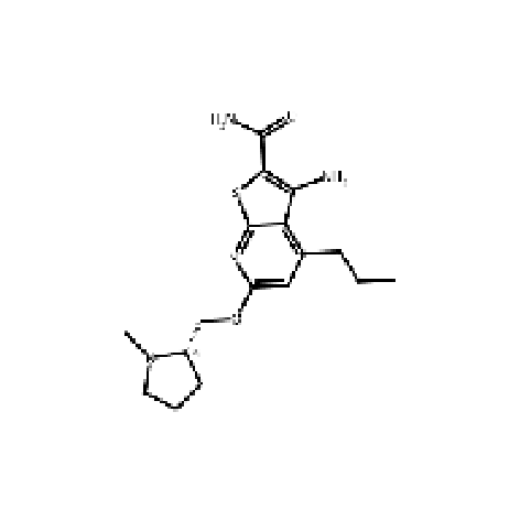 CCCc1cc(OC[C@@H]2CCCN2C)nc2sc(C(N)=O)c(N)c12